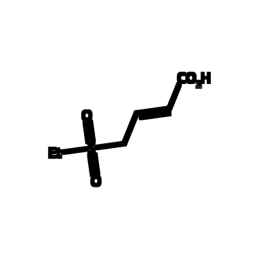 CCS(=O)(=O)CC=CC(=O)O